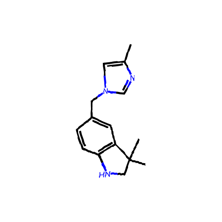 Cc1cn(Cc2ccc3c(c2)C(C)(C)CN3)cn1